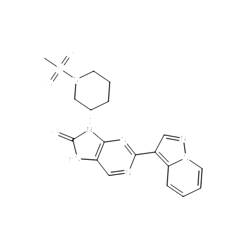 CS(=O)(=O)N1CCC[C@H](n2c(=O)[nH]c3cnc(-c4cnn5ccccc45)nc32)C1